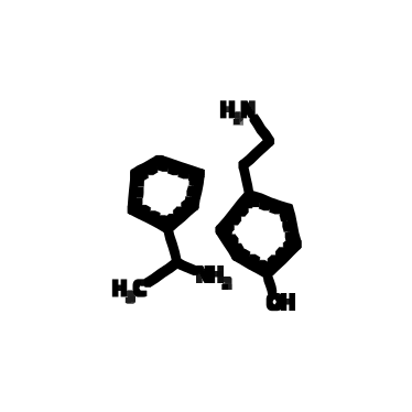 CC(N)c1ccccc1.NCCc1ccc(O)cc1